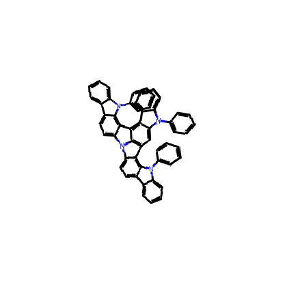 c1ccc(-n2c3ccccc3c3c4c5c6c(ccc5n5c7ccc8c9ccccc9n(-c9ccccc9)c8c7c(cc32)c45)c2ccccc2n6-c2ccccc2)cc1